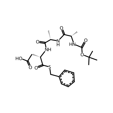 C[C@H](NC(=O)OC(C)(C)C)C(=O)N[C@@H](C)C(=O)N[C@@H](CC(=O)O)C(=O)SCc1ccccc1